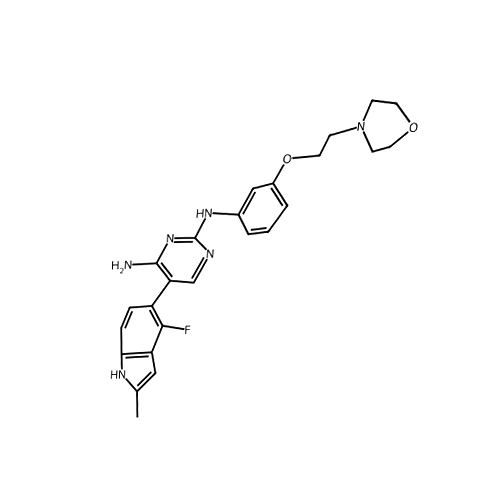 Cc1cc2c(F)c(-c3cnc(Nc4cccc(OCCN5CCOCC5)c4)nc3N)ccc2[nH]1